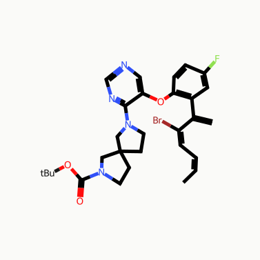 C=C(/C(Br)=C\C=C/C)c1cc(F)ccc1Oc1cncnc1N1CCC2(CCN(C(=O)OC(C)(C)C)C2)C1